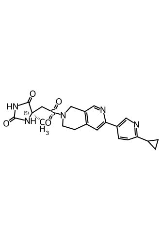 C[C@]1(CS(=O)(=O)N2CCc3cc(-c4ccc(C5CC5)nc4)ncc3C2)NC(=O)NC1=O